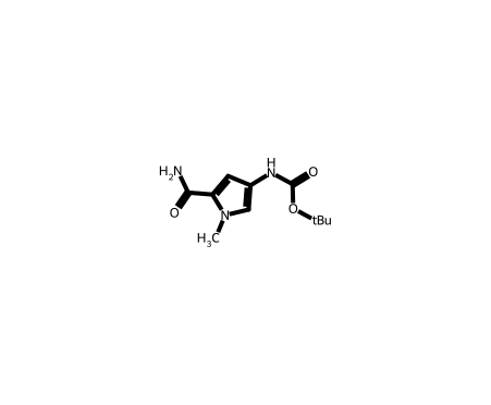 Cn1cc(NC(=O)OC(C)(C)C)cc1C(N)=O